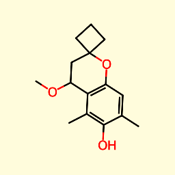 COC1CC2(CCC2)Oc2cc(C)c(O)c(C)c21